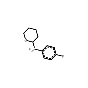 Fc1ccc([SiH2]C2CCCCO2)cc1